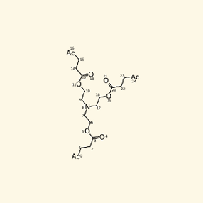 CC(=O)CCC(=O)OCCN(CCOC(=O)CCC(C)=O)CCOC(=O)CCC(C)=O